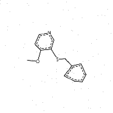 COc1ccncc1SCc1ccccc1